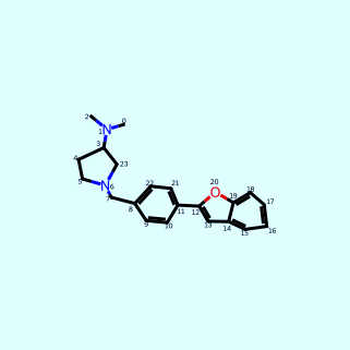 CN(C)C1CCN(Cc2ccc(-c3cc4ccccc4o3)cc2)C1